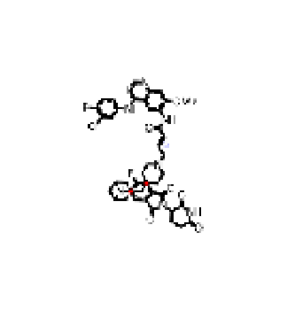 COc1cc2ncnc(Nc3ccc(F)c(Cl)c3)c2cc1NC(=O)/C=C/CN1CCC(CN2CC3CC(C2)N3c2cc3c(cc2F)C(=O)N(C2CCC(=O)NC2=O)C3=O)CC1